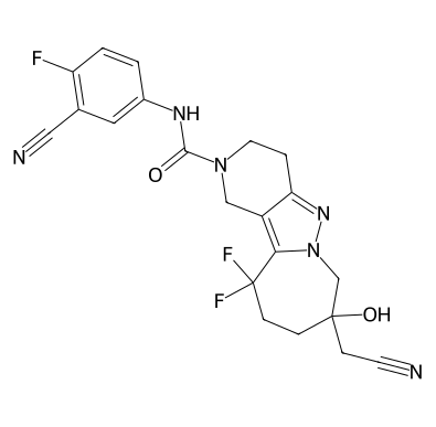 N#CCC1(O)CCC(F)(F)c2c3c(nn2C1)CCN(C(=O)Nc1ccc(F)c(C#N)c1)C3